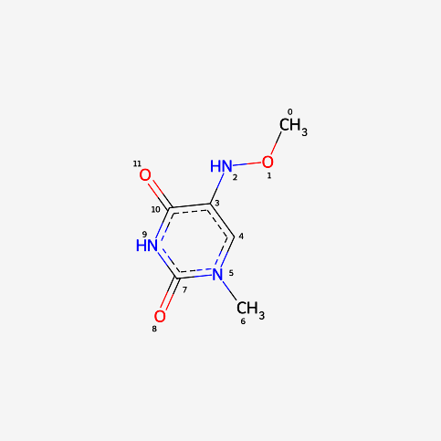 CONc1cn(C)c(=O)[nH]c1=O